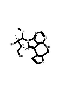 COC(n1cc2c3c(ncnc31)NCc1sccc1-2)[C@](C)(O)[C@H](O)CO